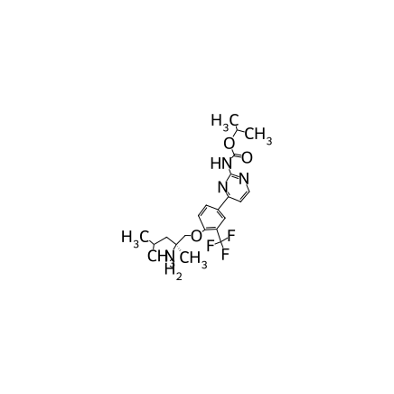 CC(C)C[C@](C)(N)COc1ccc(-c2ccnc(NC(=O)OC(C)C)n2)cc1C(F)(F)F